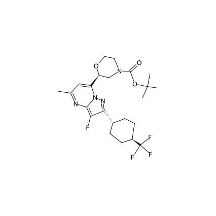 Cc1cc([C@@H]2CN(C(=O)OC(C)(C)C)CCO2)n2nc([C@H]3CC[C@H](C(F)(F)F)CC3)c(F)c2n1